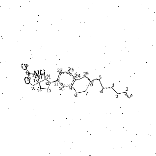 C=CCCCCC1CCc2cc([C@H]3CC[C@]4(COC(=O)N4)C3)ccc2C1